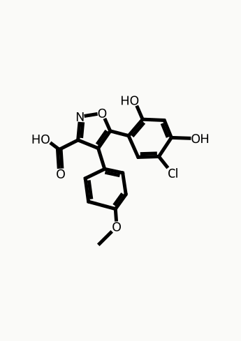 COc1ccc(-c2c(C(=O)O)noc2-c2cc(Cl)c(O)cc2O)cc1